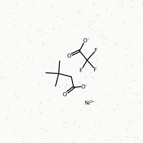 CC(C)(C)CC(=O)[O-].O=C([O-])C(F)(F)F.[Ni+2]